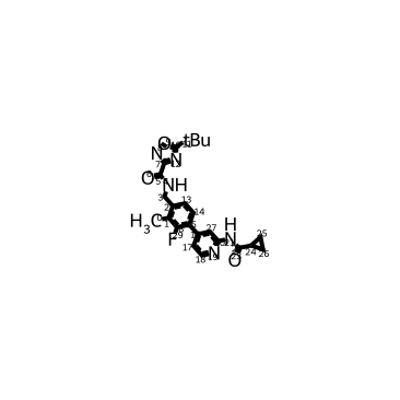 Cc1c(CNC(=O)c2noc(C(C)(C)C)n2)ccc(-c2ccnc(NC(=O)C3CC3)c2)c1F